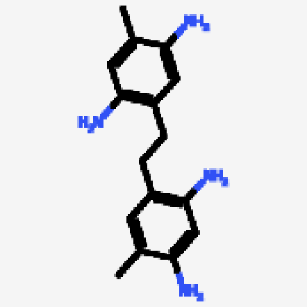 Cc1cc(CCc2cc(N)c(C)cc2N)c(N)cc1N